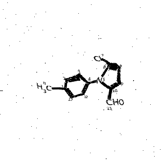 Cc1ccc(-n2c(Cl)ccc2C=O)cc1